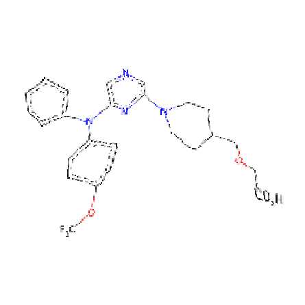 O=C(O)COCC1CCN(c2cncc(N(c3ccccc3)c3ccc(OC(F)(F)F)cc3)n2)CC1